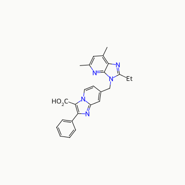 CCc1nc2c(C)cc(C)nc2n1Cc1ccn2c(C(=O)O)c(-c3ccccc3)nc2c1